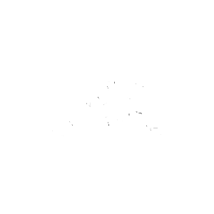 NC[C@H]1O[C@@H]2SC(N3CCC3)=N[C@@H]2[C@@H](O)[C@@H]1O